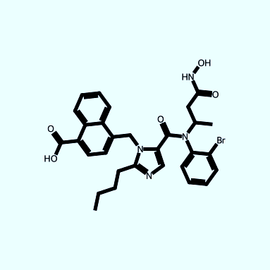 CCCCc1ncc(C(=O)N(c2ccccc2Br)C(C)CC(=O)NO)n1Cc1ccc(C(=O)O)c2ccccc12